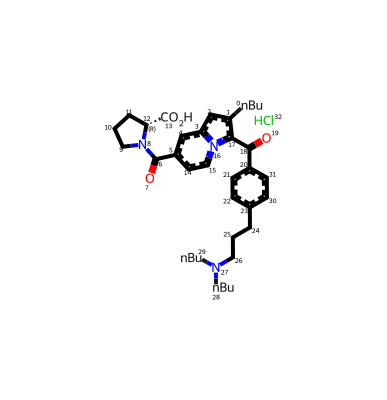 CCCCc1cc2cc(C(=O)N3CCC[C@@H]3C(=O)O)ccn2c1C(=O)c1ccc(CCCN(CCCC)CCCC)cc1.Cl